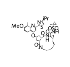 COc1ccc2c(OC3CC4C(=O)NC5(C(=O)NS(=O)(=O)C6(C)CC6)CC5/C=C/CCCCN(C)C(=O)C4C3)cc(-c3nc(C(C)C)cs3)nc2c1C